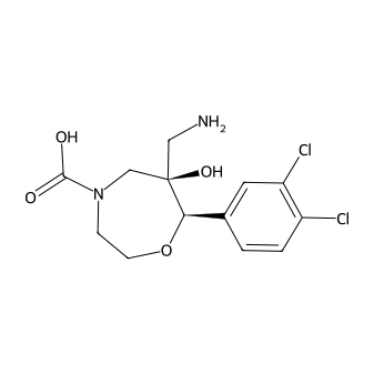 NC[C@@]1(O)CN(C(=O)O)CCO[C@@H]1c1ccc(Cl)c(Cl)c1